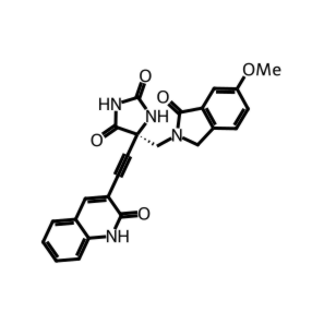 COc1ccc2c(c1)C(=O)N(C[C@@]1(C#Cc3cc4ccccc4[nH]c3=O)NC(=O)NC1=O)C2